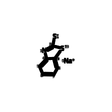 [Na+].[S-]c1nc2ccccc2s1